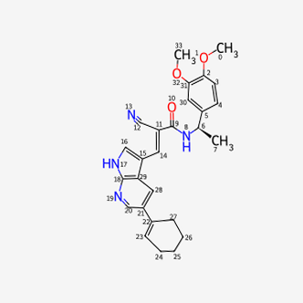 COc1ccc([C@@H](C)NC(=O)/C(C#N)=C/c2c[nH]c3ncc(C4=CCCCC4)cc23)cc1OC